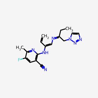 C=C/C(=C\N=C(\CC)Cn1ccnn1)Nc1nc(C)c(F)cc1C#N